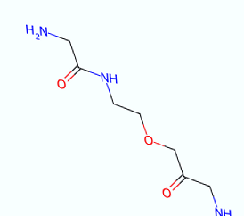 NCC(=O)COCCNC(=O)CN